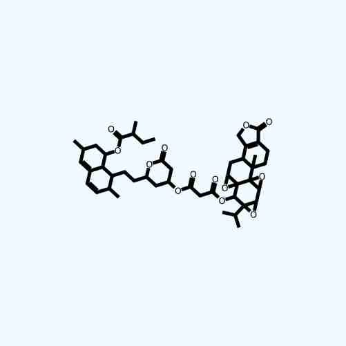 CCC(C)C(=O)OC1CC(C)C=C2C=CC(C)C(CCC3CC(OC(=O)CC(=O)OC4C5(C(C)C)OC5C5OC56C5(C)CCC7=C(COC7=O)C5CC5OC546)CC(=O)O3)C21